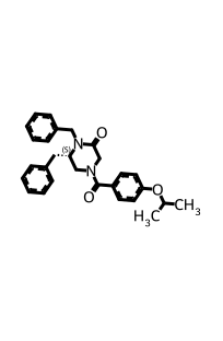 CC(C)Oc1ccc(C(=O)N2CC(=O)N(Cc3ccccc3)[C@@H](Cc3ccccc3)C2)cc1